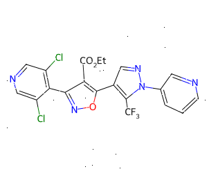 CCOC(=O)c1c(-c2c(Cl)cncc2Cl)noc1-c1cnn(-c2cccnc2)c1C(F)(F)F